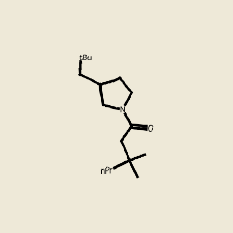 CCCC(C)(C)CC(=O)N1CCC(CC(C)(C)C)C1